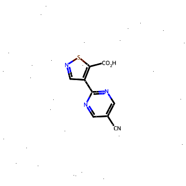 N#Cc1cnc(-c2cnsc2C(=O)O)nc1